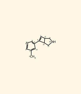 Cc1cncc(C2=CC3CNCC23)c1